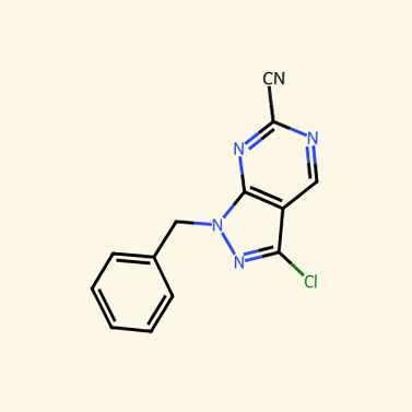 N#Cc1ncc2c(Cl)nn(Cc3ccccc3)c2n1